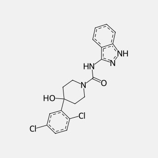 O=C(Nc1n[nH]c2ccccc12)N1CCC(O)(c2cc(Cl)ccc2Cl)CC1